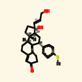 CCSc1ccc([C@H]2C[C@@]3(C)[C@@H](CC[C@@]3(O)/C=C/CO)[C@@H]3CCC4=CC(=O)CCC4=C32)cc1